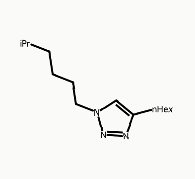 CCCCCCc1cn(CCCCC(C)C)nn1